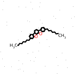 CCCCCCCCc1ccc2c(c1)oc1c2ccc2c3ccc(CCCCCCCC)cc3oc21